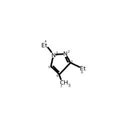 CCc1nn(CC)[c]c1C